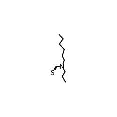 CCCCCCN([C]=S)CCC